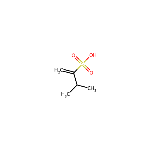 C=C(C(C)C)S(=O)(=O)O